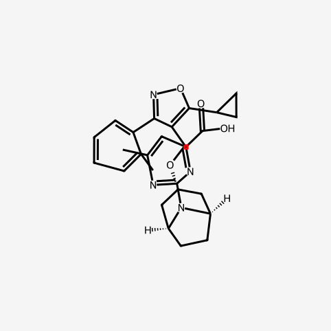 Cc1cc(C(=O)O)nc(N2[C@@H]3CC[C@H]2C[C@H](OCc2c(-c4ccccc4C)noc2C2CC2)C3)n1